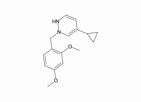 COc1ccc(CN2C=C(C3CC3)C=CN2)c(OC)c1